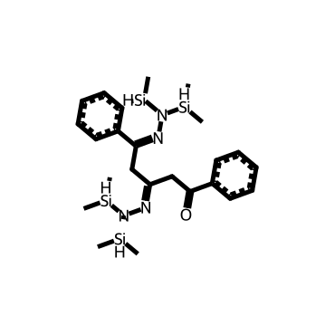 C[SiH](C)N(N=C(CC(=O)c1ccccc1)CC(=NN([SiH](C)C)[SiH](C)C)c1ccccc1)[SiH](C)C